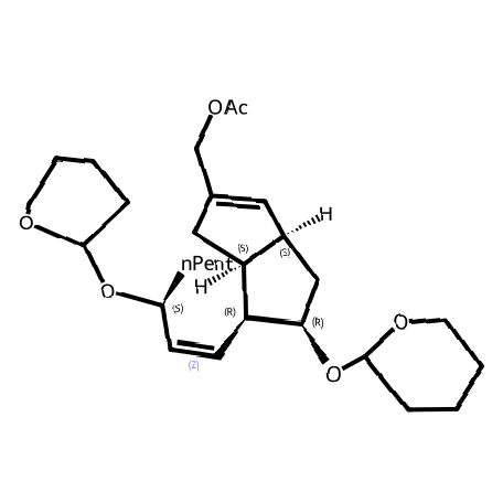 CCCCC[C@@H](/C=C\[C@H]1[C@H]2CC(COC(C)=O)=C[C@H]2C[C@H]1OC1CCCCO1)OC1CCCCO1